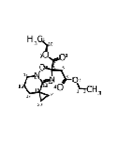 CCOC(=O)CC1(C(=O)OCC)N=C2N(CCCC23CC3)O1